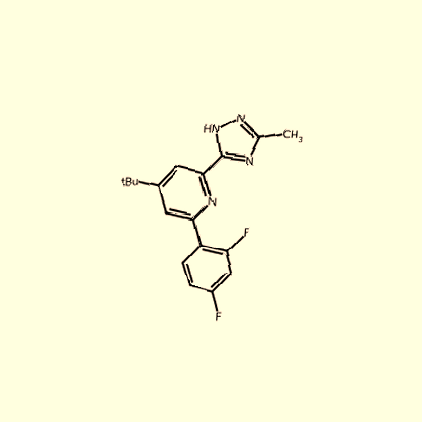 Cc1n[nH]c(-c2cc(C(C)(C)C)cc(-c3ccc(F)cc3F)n2)n1